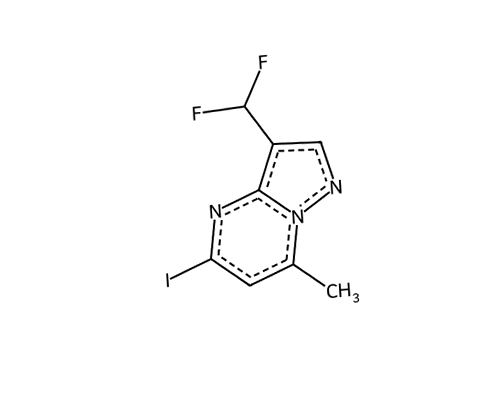 Cc1cc(I)nc2c(C(F)F)cnn12